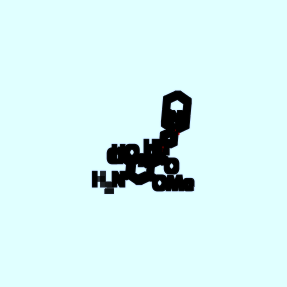 COc1cc(N)c(Cl)cc1C(=O)NCC1CC2CCCC(C1)N2CCCC(=O)O